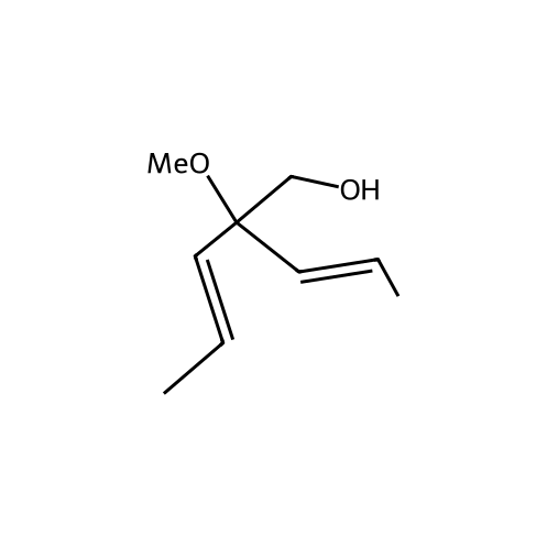 CC=CC(C=CC)(CO)OC